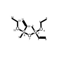 C=C[Si](C)(OCC)O[Si](C)(C=C)OCC